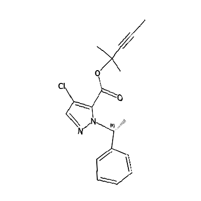 CC#CC(C)(C)OC(=O)c1c(Cl)cnn1[C@H](C)c1ccccc1